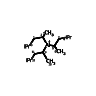 CC(C)C[CH](C)[Al]([CH](C)CC(C)C)[CH](C)CC(C)C